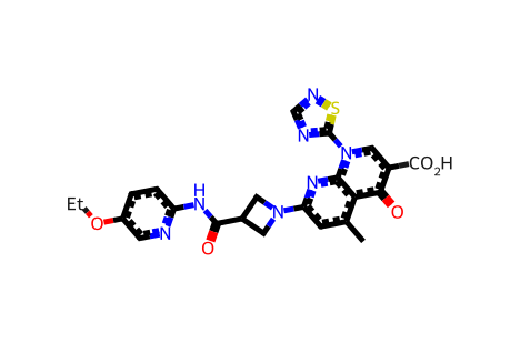 CCOc1ccc(NC(=O)C2CN(c3cc(C)c4c(=O)c(C(=O)O)cn(-c5ncns5)c4n3)C2)nc1